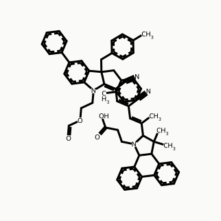 C\C(=C/C(C#N)=C/C(C#N)=C1\N(CCOC=O)c2ccc(-c3ccccc3)cc2C1(Cc1ccc(C)cc1)Cc1ccccc1C)C1N(CCC(=O)O)C2c3ccccc3-c3ccccc3C2C1(C)C